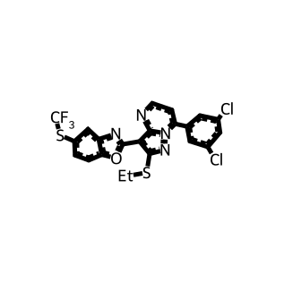 CCSc1nn2c(-c3cc(Cl)cc(Cl)c3)ccnc2c1-c1nc2cc(SC(F)(F)F)ccc2o1